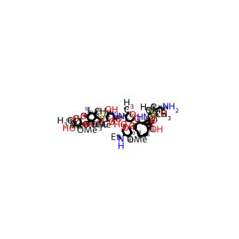 CCN[C@H]1CO[C@@H](O[C@H]2[C@H](O[C@H]3C#C/C=C/C#C[C@]4(O)CC(=O)C(NC(=O)OC)=C3/C4=C\CSSC(C)(C)CC(N)=O)O[C@H](C)[C@@H](NO[C@H]3C[C@H](O)[C@H](SC(=O)c4c(C)c(I)c(O[C@@H]5O[C@@H](C)[C@H](O)[C@@H](OC)[C@H]5O)c(OC)c4OC)[C@@H](C)O3)[C@@H]2O)C[C@@H]1OC